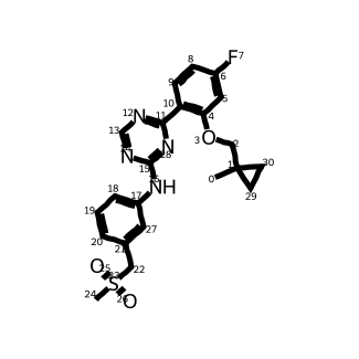 CC1(COc2cc(F)ccc2-c2ncnc(Nc3cccc(CS(C)(=O)=O)c3)n2)CC1